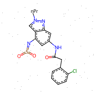 CCCn1cc2c(N=S(=O)=O)cc(NC(=O)Cc3ccccc3Cl)cc2n1